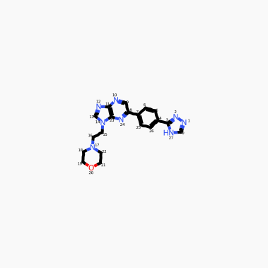 c1nnc(-c2ccc(-c3cnc4ncn(CCN5CCOCC5)c4n3)cc2)[nH]1